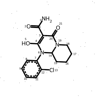 NC(=O)C1=C(O)N(c2ccc[c]c2Cl)C2CCCCN2C1=O